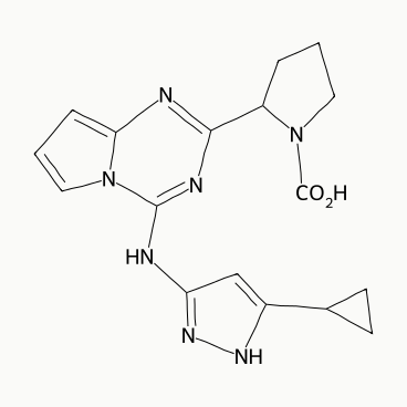 O=C(O)N1CCCC1c1nc(Nc2cc(C3CC3)[nH]n2)n2cccc2n1